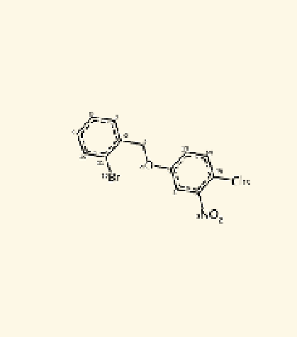 O=[N+]([O-])c1cc(OCc2ccccc2Br)ccc1Cl